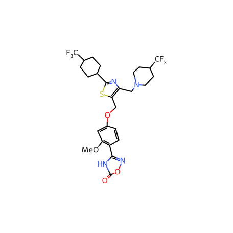 COc1cc(OCc2sc(C3CCC(C(F)(F)F)CC3)nc2CN2CCC(C(F)(F)F)CC2)ccc1-c1noc(=O)[nH]1